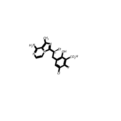 CC[C@@H](Cc1cc(Cl)c(F)c(C(=O)O)c1O)c1nc(C)c2c(N)nccn12